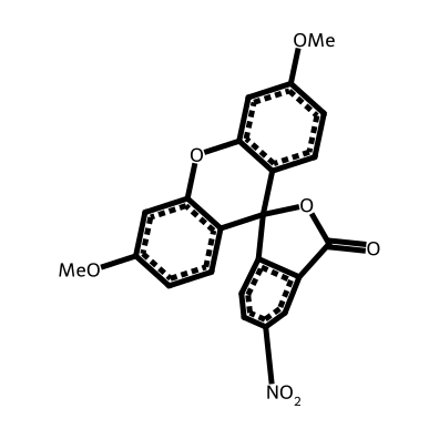 COc1ccc2c(c1)Oc1cc(OC)ccc1C21OC(=O)c2cc([N+](=O)[O-])ccc21